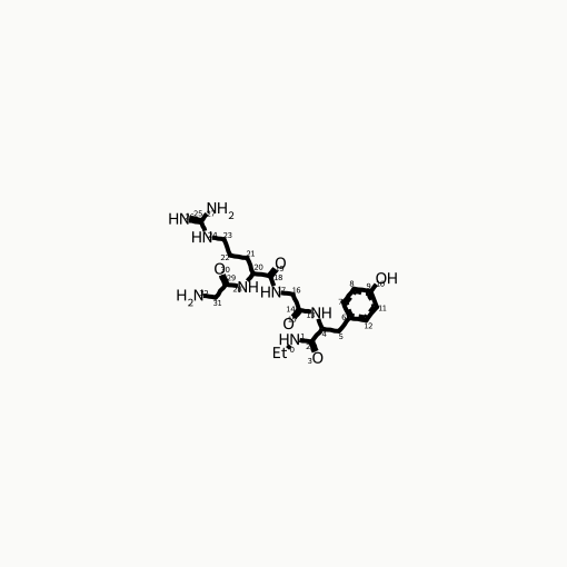 CCNC(=O)C(Cc1ccc(O)cc1)NC(=O)CNC(=O)C(CCCNC(=N)N)NC(=O)CN